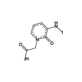 CC(C)C(=O)Cn1cccc(NI)c1=O